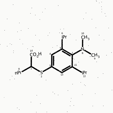 CCCC(Sc1cc(C(C)C)c(N(C)C)c(C(C)C)c1)C(=O)O